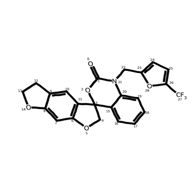 O=C1OC2(COc3cc4c(cc32)CCO4)c2ccccc2N1Cc1ccc(C(F)(F)F)o1